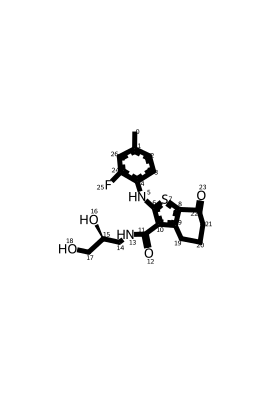 Cc1ccc(Nc2sc3c(c2C(=O)NC[C@H](O)CO)CCCC3=O)c(F)c1